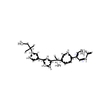 C=C(N)/N=C\C(=C/N)c1ccc([C@](C)(c2noc(-c3cnn(C(C)(C)CO)c3)n2)C(C)C)cn1